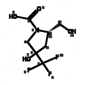 O=C(O)N1CC(O)(C(F)(F)F)C[C@H]1CO